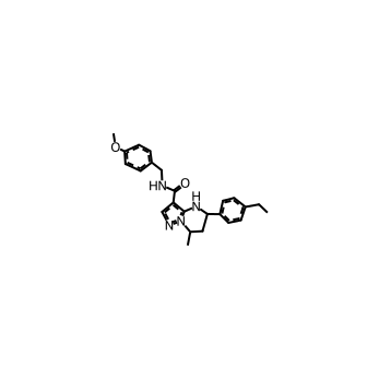 CCc1ccc(C2CC(C)n3ncc(C(=O)NCc4ccc(OC)cc4)c3N2)cc1